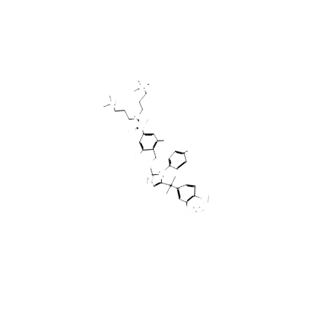 COc1cc(C(C)(C)c2cnc(SCc3c(F)cc(S(=O)(=O)N(CCC[N+](C)(C)C)CCC[N+](C)(C)C)cc3F)n2-c2ccc(F)cc2)ccc1Cl